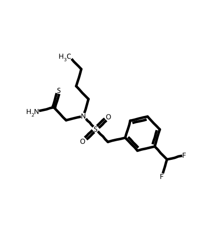 CCCCN(CC(N)=S)S(=O)(=O)Cc1cccc(C(F)F)c1